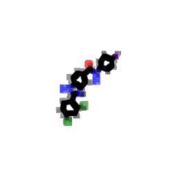 O=C(Nc1ccc(I)cc1)c1ccc2[nH]c(-c3ccc(Cl)cc3Cl)nc2c1